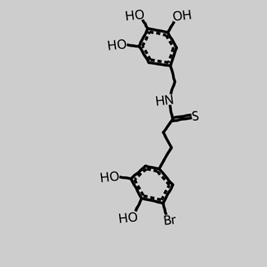 Oc1cc(CNC(=S)CCc2cc(O)c(O)c(Br)c2)cc(O)c1O